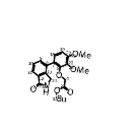 CCC(C)OC(=O)COc1c(-c2cccc3c2CNC3=O)ccc(OC)c1OC